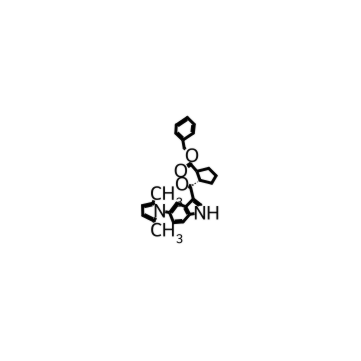 Cc1ccc(C)n1-c1ccc2[nH]cc(C(=O)[C@H]3CCCC3C(=O)OCc3ccccc3)c2c1